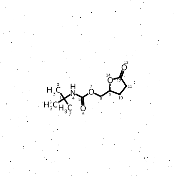 CC(C)(C)NC(=O)OCC1CCC(=O)O1